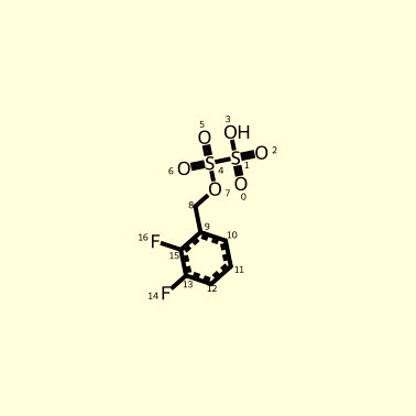 O=S(=O)(O)S(=O)(=O)OCc1cccc(F)c1F